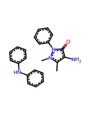 Cc1c(N)c(=O)n(-c2ccccc2)n1C.c1ccc(Nc2ccccc2)cc1